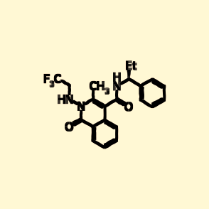 CC[C@H](NC(=O)c1c(C)n(NCC(F)(F)F)c(=O)c2ccccc12)c1ccccc1